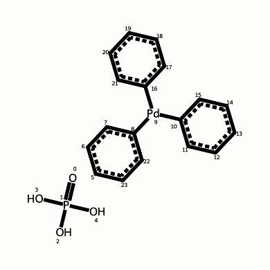 O=P(O)(O)O.c1cc[c]([Pd]([c]2ccccc2)[c]2ccccc2)cc1